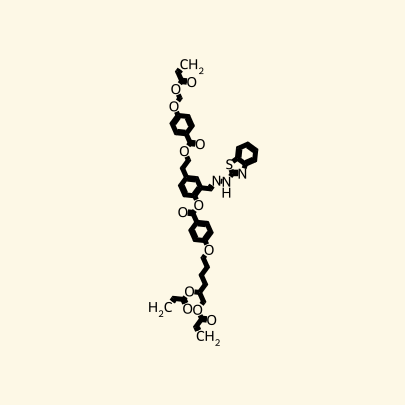 C=CC(=O)OCOc1ccc(C(=O)OCCc2ccc(OC(=O)c3ccc(OCCCCC(COC(=O)C=C)OC(=O)C=C)cc3)c(/C=N/Nc3nc4ccccc4s3)c2)cc1